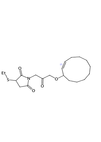 CCSC1CC(=O)N(CC(=O)COC2/C=C\CCCCCCCC2)C1=O